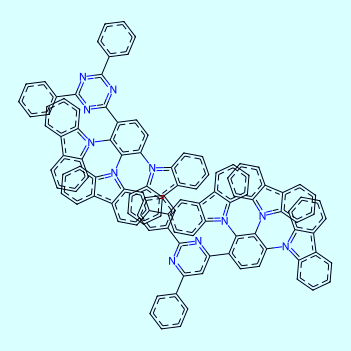 c1ccc(-c2cc(-c3ccc(-n4c5ccccc5c5ccccc54)c(-n4c5ccccc5c5ccccc54)c3-n3c4ccccc4c4cc(-c5ccc6c7ccccc7n(-c7c(-n8c9ccccc9c9ccccc98)ccc(-c8nc(-c9ccccc9)nc(-c9ccccc9)n8)c7-n7c8ccccc8c8ccccc87)c6c5)ccc43)nc(-c3ccccc3)n2)cc1